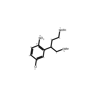 COCC(CCNC(C)=O)c1cc(Cl)ccc1[N+](=O)[O-]